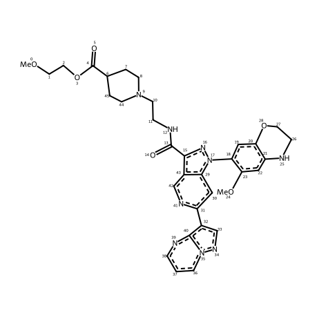 COCCOC(=O)C1CCN(CCNC(=O)c2nn(-c3cc4c(cc3OC)NCCO4)c3cc(-c4cnn5cccnc45)ncc23)CC1